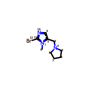 Cn1c(CN2CCCC2)cnc1Br